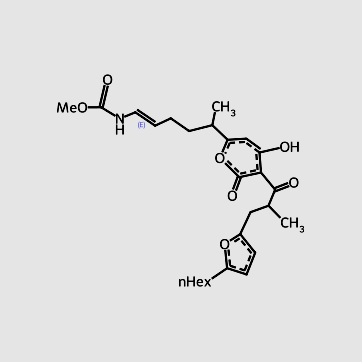 CCCCCCc1ccc(CC(C)C(=O)c2c(O)cc(C(C)CC/C=C/NC(=O)OC)oc2=O)o1